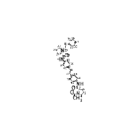 CC(=O)N1CCC[C@H]1C(=O)Nc1ccc(/C=C/c2ccc(NC(=O)[C@@H]3CCCN3CCc3ccccc3)cc2)cc1